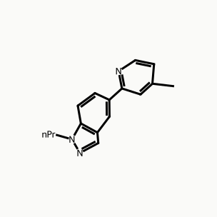 CCCn1ncc2cc(-c3cc(C)ccn3)ccc21